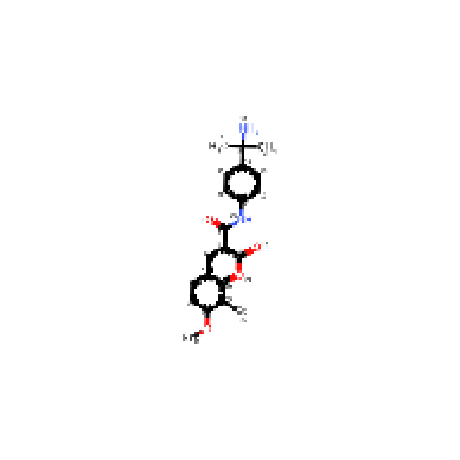 CCOc1ccc2cc(C(=O)Nc3ccc(C(C)(C)N)cc3)c(=O)oc2c1CC